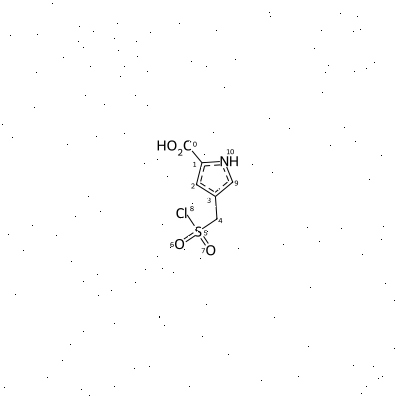 O=C(O)c1cc(CS(=O)(=O)Cl)c[nH]1